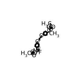 CCS(=O)(=O)O/N=C(/c1ccc(OCCCOc2ccc(/C(C)=N/OS(=O)(=O)CC)cc2)cc1)C(F)(F)F